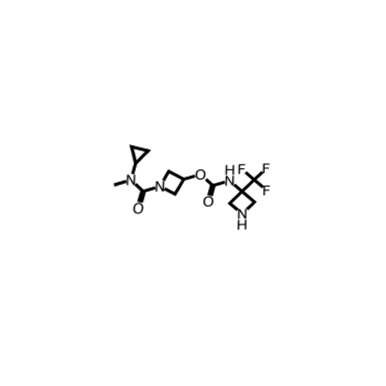 CN(C(=O)N1CC(OC(=O)NC2(C(F)(F)F)CNC2)C1)C1CC1